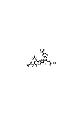 CC(=O)OC(CC(C(C)C)N(C)C(=O)C1CC1)c1nc(C(=O)N[C@@H](Cc2ncc(C(F)(F)F)cn2)CC(C)C(=O)O)cs1